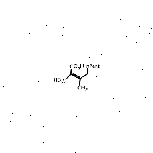 CCCCCCC(C)=C(C(=O)O)C(=O)O